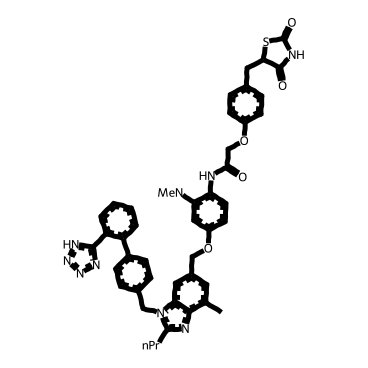 CCCc1nc2c(C)cc(COc3ccc(NC(=O)COc4ccc(CC5SC(=O)NC5=O)cc4)c(NC)c3)cc2n1Cc1ccc(-c2ccccc2-c2nnn[nH]2)cc1